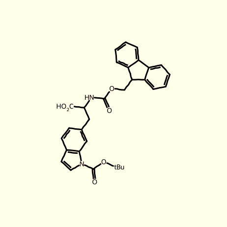 CC(C)(C)OC(=O)n1ccc2ccc(CC(NC(=O)OCC3c4ccccc4-c4ccccc43)C(=O)O)cc21